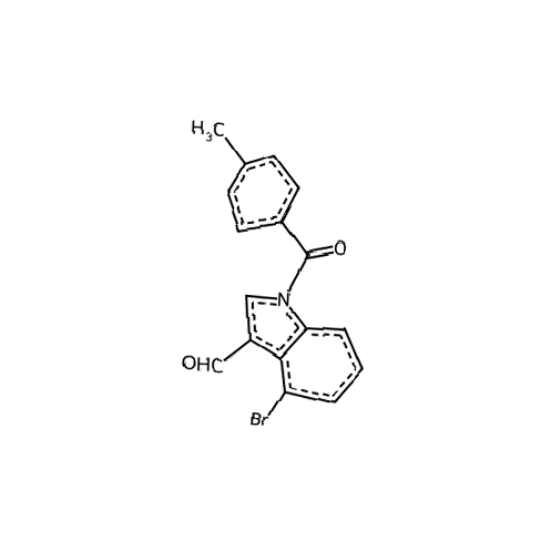 Cc1ccc(C(=O)n2cc(C=O)c3c(Br)cccc32)cc1